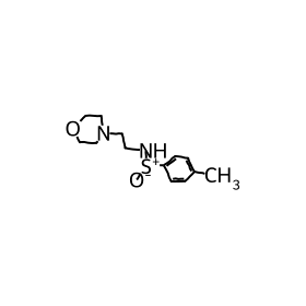 Cc1ccc([S+]([O-])NCCN2CCOCC2)cc1